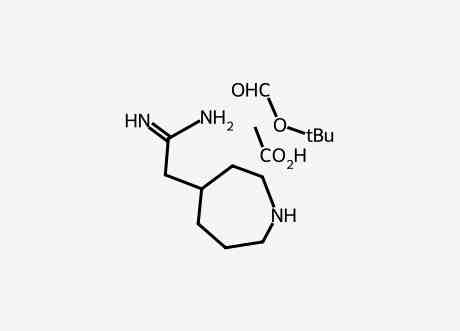 CC(=O)O.CC(C)(C)OC=O.N=C(N)CC1CCCNCC1